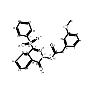 COc1cccc(CC(=O)Nn2nc(S(=O)(=O)c3ccccc3)c3ccccc3c2=O)c1